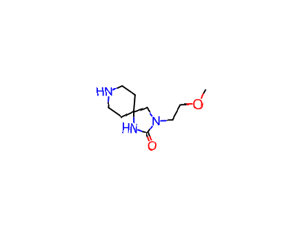 COCCN1CC2(CCNCC2)NC1=O